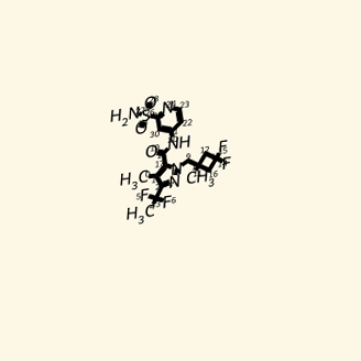 Cc1c(C(C)(F)F)nn(CC2(C)CC(F)(F)C2)c1C(=O)Nc1ccnc(S(N)(=O)=O)c1